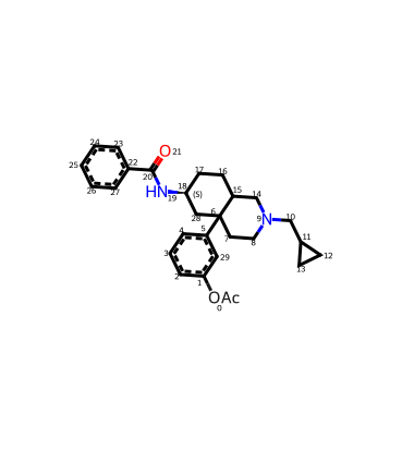 CC(=O)Oc1cccc(C23CCN(CC4CC4)CC2CC[C@H](NC(=O)c2ccccc2)C3)c1